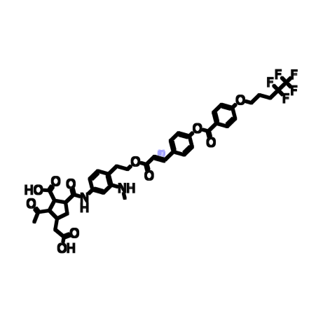 CNc1cc(NC(=O)C2CC(CC(=O)O)C(C(C)=O)C2C(=O)O)ccc1CCOC(=O)/C=C/c1ccc(OC(=O)c2ccc(OCCCC(F)(F)C(F)(F)F)cc2)cc1